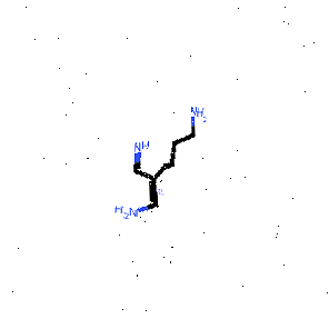 N=C/C(=C\N)CCCN